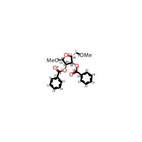 COC[C@H]1O[C@H](OC)[C@H](OC(=O)c2ccccc2)[C@@H]1OC(=O)c1ccccc1